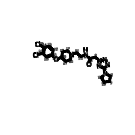 O=C(Cn1nnc(N2CCCC2)n1)NCCN1CCC(Oc2ccc(Cl)c(Cl)c2)CC1